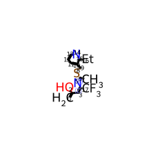 C=C(O)/C=C(\N=C(/C)SCc1cccnc1CC)C(F)(F)F